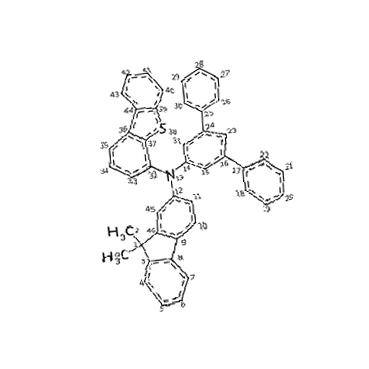 CC1(C)c2ccccc2-c2ccc(N(c3cc(-c4ccccc4)cc(-c4ccccc4)c3)c3cccc4c3sc3ccccc34)cc21